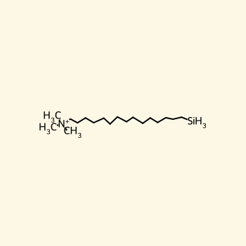 C[N+](C)(C)CCCCCCCCCCCCCCC[SiH3]